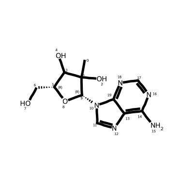 CC1(O)C(O)[C@@H](CO)O[C@H]1n1cnc2c(N)ncnc21